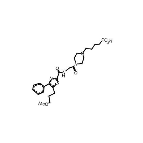 COCCCc1sc(C(=O)NCC(=O)N2CCN(CCCCC(=O)O)CC2)nc1-c1ccccc1